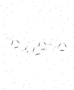 O=C(Nc1ccc(S(F)(F)(F)(F)F)cc1)Nc1ccc2nc(N[C@@H]3CCc4ccccc43)ccc2c1